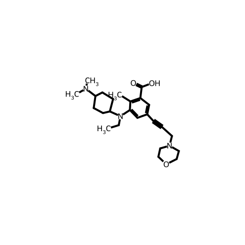 CCN(c1cc(C#CCN2CCOCC2)cc(C(=O)O)c1C)C1CCC(N(C)C)CC1